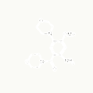 COc1cc(N)c(C(=O)N2CCOCC2)cc1N1CCOCC1